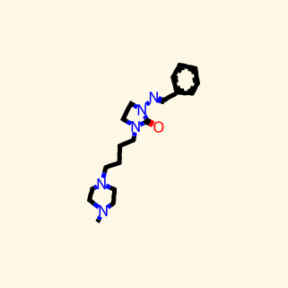 CN1CCN(CCCCN2CCN(N=Cc3ccccc3)C2=O)CC1